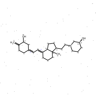 C=C1CC/C(=C/C=C2\CCCC3(C)C(CCN4CCC[C@H](O)C4)CCC23)CC1O